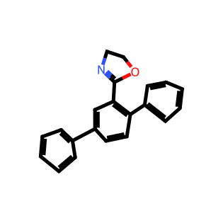 c1ccc(-c2ccc(-c3ccccc3)c(C3=NCCO3)c2)cc1